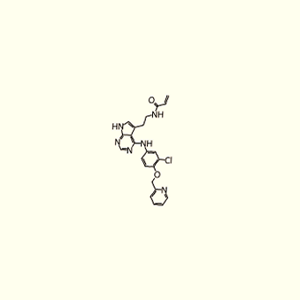 C=CC(=O)NCCc1c[nH]c2ncnc(Nc3ccc(OCc4ccccn4)c(Cl)c3)c12